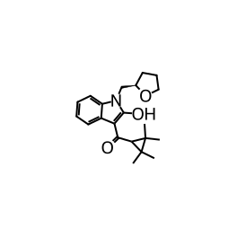 CC1(C)C(C(=O)c2c(O)n(C[C@H]3CCCO3)c3ccccc23)C1(C)C